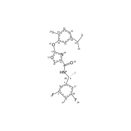 Cc1c(F)cc([C@@H](C)NC(=O)c2coc(Oc3cc(C(C)C)ccc3I)n2)cc1F